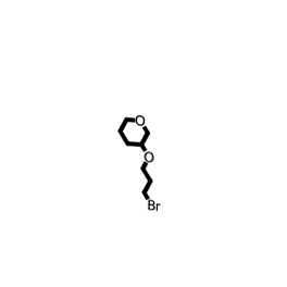 BrCCCOC1CCCOC1